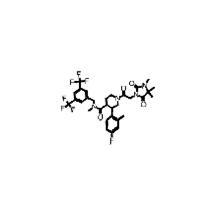 Cc1cc(F)ccc1C1CN(C(=O)CN2C(=O)N(C)C(C)(C)C2=O)CCC1C(=O)N(C)Cc1cc(C(F)(F)F)cc(C(F)(F)F)c1